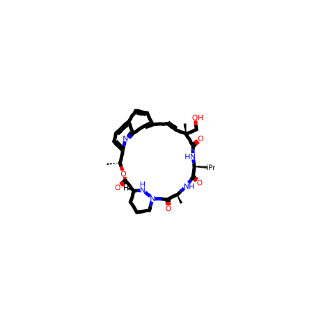 CC(C)[C@@H]1NC(=O)[C@@](C)(CO)/C=C/c2ccc3ccc(nc3c2)[C@@H](C)OC(=O)[C@@H]2CCCN(N2)C(=O)[C@H](C)NC1=O